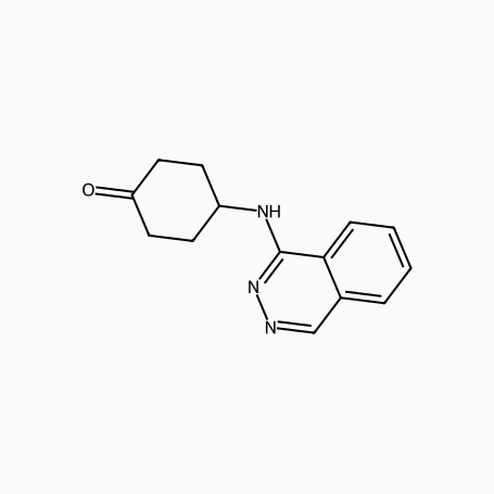 O=C1CCC(Nc2nncc3ccccc23)CC1